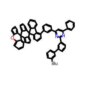 CCC(C)c1cccc(-c2cccc(-c3nc(-c4ccccc4)cc(-c4cccc(-c5cccc6c5-c5ccccc5C65c6ccccc6C6(c7ccccc7Oc7ccccc76)c6ccccc65)c4)n3)c2)c1